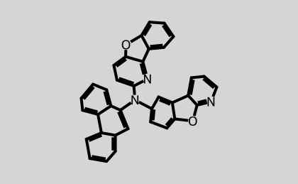 c1ccc2c(c1)cc(N(c1ccc3oc4ncccc4c3c1)c1ccc3oc4ccccc4c3n1)c1ccccc12